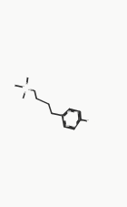 C[Si](C)(C)CCCCc1ccc(S(=O)(=O)O)cc1